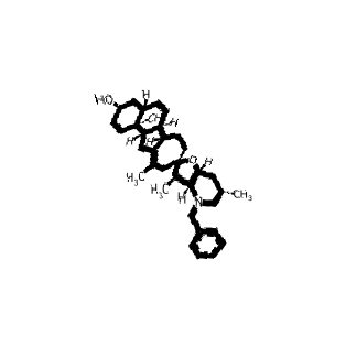 CC1=C2C[C@H]3[C@@H](CC[C@H]4C[C@H](O)CC[C@@]43C)[C@@H]2CC[C@@]2(C1)O[C@@H]1C[C@H](C)CN(Cc3ccccc3)[C@H]1[C@H]2C